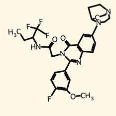 CCC(NC(=O)Cn1c(-c2ccc(F)c(OC)c2)nc2ccc(N3CCN4CCC3CC4)cc2c1=O)C(F)(F)F